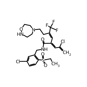 C=C(Cl)/C=C(\C=C(/CCN1CCNOCC1)C(F)(F)F)C(=O)NCc1cc(Cl)ccc1S(=O)(=O)CC